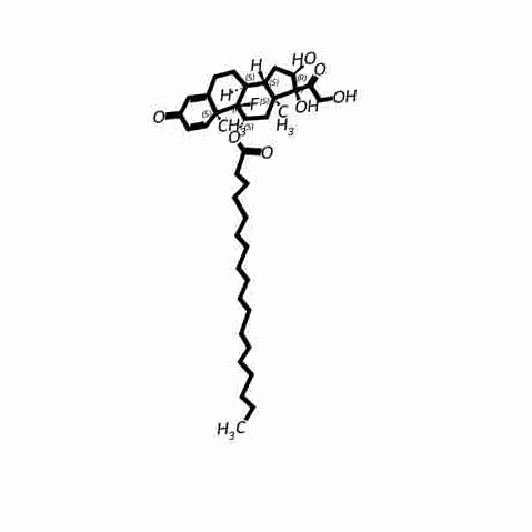 CCCCCCCCCCCCCCCCCC(=O)O[C@H]1C[C@@]2(C)[C@@H](C[C@@H](O)[C@]2(O)C(=O)CO)[C@@H]2CCC3=CC(=O)C=C[C@]3(C)[C@@]12F